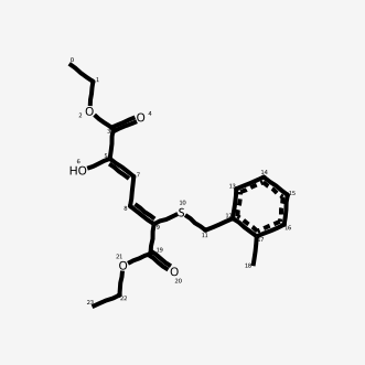 CCOC(=O)/C(O)=C/C=C(\SCc1ccccc1C)C(=O)OCC